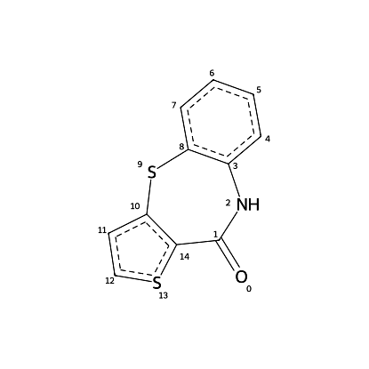 O=C1Nc2ccccc2Sc2ccsc21